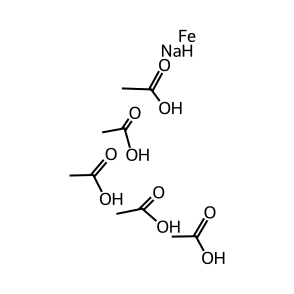 CC(=O)O.CC(=O)O.CC(=O)O.CC(=O)O.CC(=O)O.[Fe].[NaH]